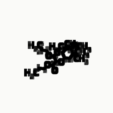 C=CCOC(=O)C(OC1CC(C)(C)N(OC)C(C)(C)C1)C(=O)OCC=C